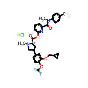 Cc1ccc(N(C)C(=O)c2cccc(OC(=O)[C@H]3CC(c4ccc(OC(F)F)c(OCC5CC5)c4)CN3C)n2)cc1.Cl